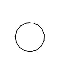 C1CCCCCCCOCCCCCC1